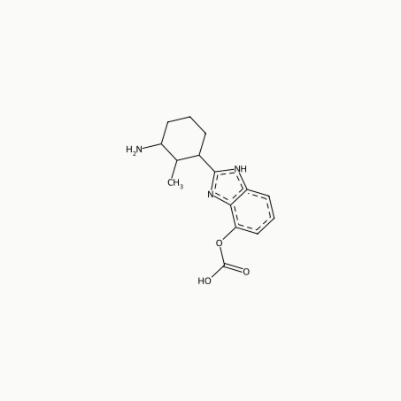 CC1C(N)CCCC1c1nc2c(OC(=O)O)cccc2[nH]1